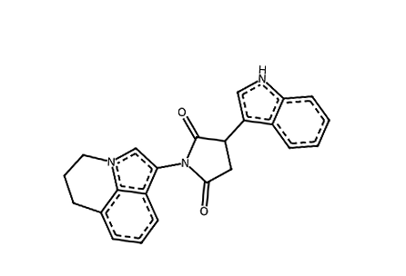 O=C1CC(c2c[nH]c3ccccc23)C(=O)N1c1cn2c3c(cccc13)CCC2